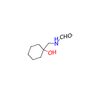 O=[C]NCC1(O)CCCCC1